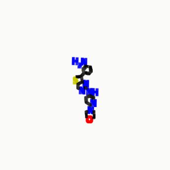 Nc1cccc(-c2csc3cnc(Nc4ccc(N5CCOCC5)nc4)nc23)c1